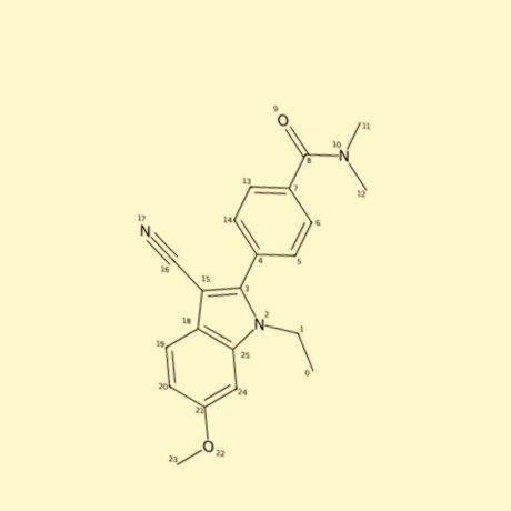 CCn1c(-c2ccc(C(=O)N(C)C)cc2)c(C#N)c2ccc(OC)cc21